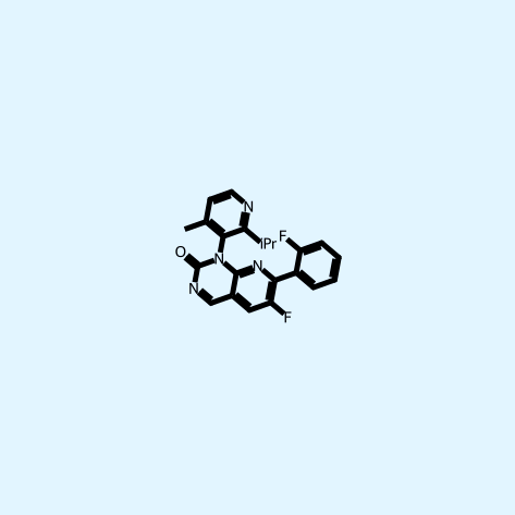 Cc1ccnc(C(C)C)c1-n1c(=O)ncc2cc(F)c(-c3ccccc3F)nc21